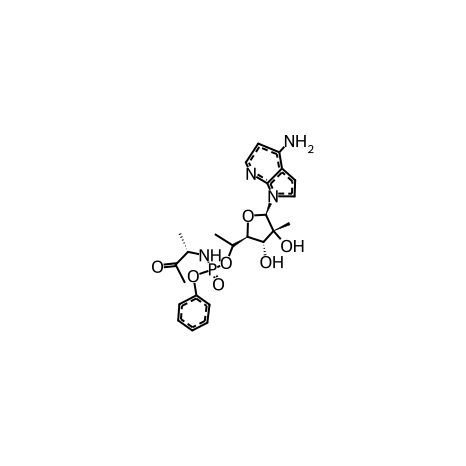 CC(=O)[C@H](C)NP(=O)(Oc1ccccc1)OC(C)[C@H]1O[C@@H](n2ccc3c(N)ccnc32)[C@](C)(O)[C@@H]1O